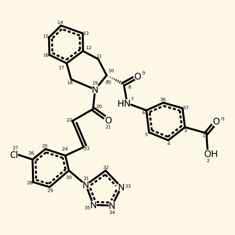 O=C(O)c1ccc(NC(=O)[C@H]2Cc3ccccc3CN2C(=O)C=Cc2cc(Cl)ccc2-n2cnnn2)cc1